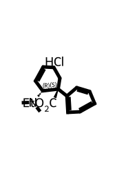 CCOC(=O)[C@]1(c2ccccc2)CCC=C[C@H]1N(C)C.Cl